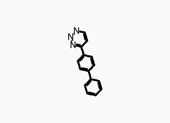 c1ccc(-c2ccc(-c3ccnnn3)cc2)cc1